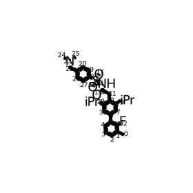 Cc1cccc(-c2cc(C(C)C)c(CC(=O)NS(=O)(=O)c3ccc(CN(C)C)cc3)c(C(C)C)c2)c1F